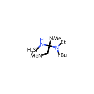 CCCCN(CC)C(CNC)(NC)N[SiH3]